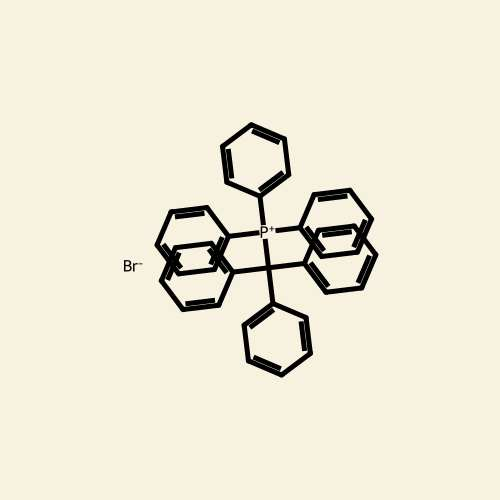 [Br-].c1ccc(C(c2ccccc2)(c2ccccc2)[P+](c2ccccc2)(c2ccccc2)c2ccccc2)cc1